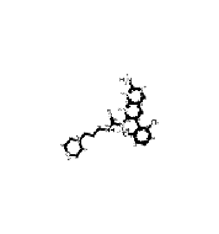 Nc1ncc2cc(-c3c(Cl)cccc3Cl)c(N(S)C(=O)NCCCN3CCOCC3)nc2n1